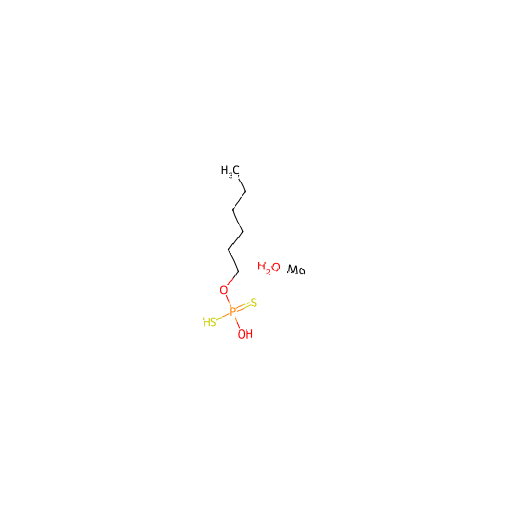 CCCCCCOP(O)(=S)S.O.[Mo]